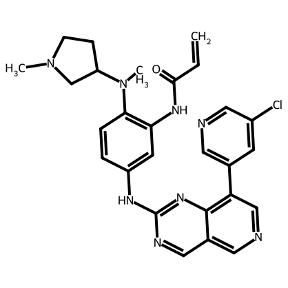 C=CC(=O)Nc1cc(Nc2ncc3cncc(-c4cncc(Cl)c4)c3n2)ccc1N(C)C1CCN(C)C1